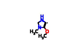 COC1=[C]NCN1C